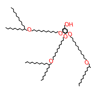 CCCCCCCCCCC(CCCCCCCC)COCCCCCCCCCCCCOc1cc(CO)cc(OCCCCCCCCCCCCOCC(CCCCCCCC)CCCCCCCCCC)c1OCCCCCCCCCCCCOCC(CCCCCCCC)CCCCCCCCCC